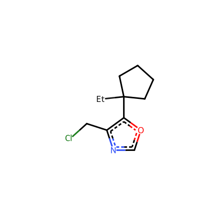 CCC1(c2ocnc2CCl)CCCC1